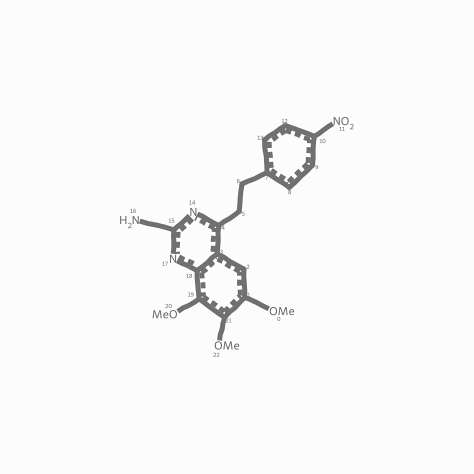 COc1cc2c(CCc3ccc([N+](=O)[O-])cc3)nc(N)nc2c(OC)c1OC